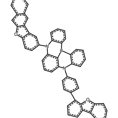 c1ccc2c(c1)B1c3ccccc3N(c3ccc4oc5cc6ccccc6cc5c4c3)c3cccc(c31)N2c1ccc(-c2cccc3c2oc2ccccc23)cc1